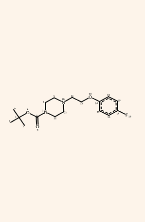 CC(C)(C)OC(=O)N1CCN(CCOc2ccc(F)cc2)CC1